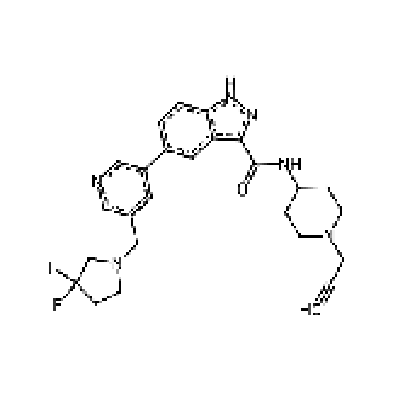 C#CCN1CCC(NC(=O)c2n[nH]c3ccc(-c4cncc(CN5CCC(F)(F)C5)c4)cc23)CC1